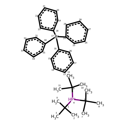 CC(C)(C)[PH+](C(C)(C)C)C(C)(C)C.c1ccc([B-](c2ccccc2)(c2ccccc2)c2ccccc2)cc1